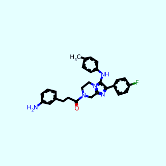 Cc1ccc(Nc2c(-c3ccc(F)cc3)nc3n2CCN(C(=O)CCc2cccc(N)c2)C3)cc1